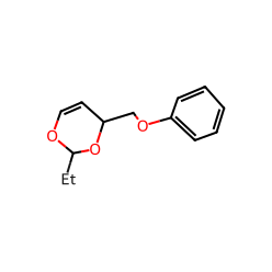 CCC1OC=CC(COc2ccccc2)O1